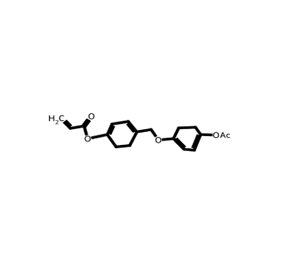 C=CC(=O)OC1=CC=C(COC2=CC=C(OC(C)=O)CC2)CC1